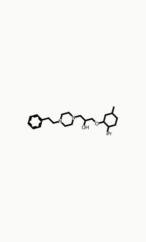 CC1CCC(C(C)C)C(OCC(O)CN2CCN(CCc3ccccc3)CC2)C1